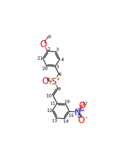 COc1ccc(C[S+]([O-])C=Cc2cccc([N+](=O)[O-])c2)cc1